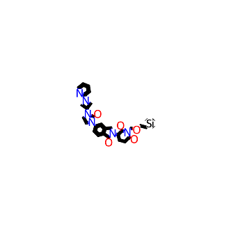 C[Si](C)(C)CCOCN1C(=O)CCC(N2Cc3cc(N4CCN(C5CN(c6ccccn6)C5)C4=O)ccc3C2=O)C1=O